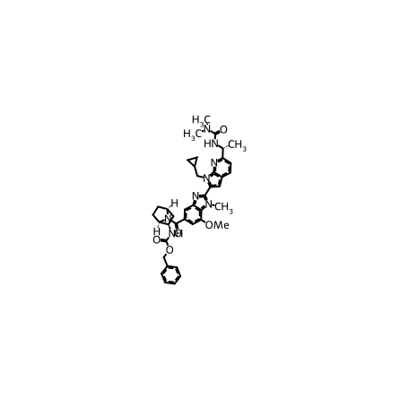 COc1cc(C(=O)N2[C@H]3CC[C@@H]2[C@H](NC(=O)OCc2ccccc2)C3)cc2nc(-c3cc4ccc([C@@H](C)NC(=O)N(C)C)nc4n3CC3CC3)n(C)c12